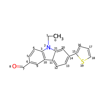 CCn1c2ccc(C=O)cc2c2ccc(-c3cccs3)cc21